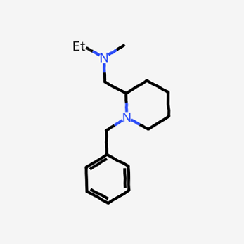 CCN(C)CC1CCCCN1Cc1ccccc1